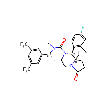 Cc1cc(F)ccc1[C@H]1[C@@H]2CCC(=O)N2CCN1C(=O)N(C)[C@H](C)c1cc(C(F)(F)F)cc(C(F)(F)F)c1